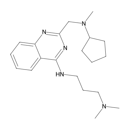 CN(C)CCCNc1nc(CN(C)C2CCCC2)nc2ccccc12